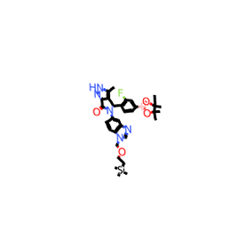 Cc1[nH]nc2c1C(c1ccc(B3OC(C)(C)C(C)(C)O3)cc1F)N(c1ccc3c(c1)ncn3COCC[Si](C)(C)C)C2=O